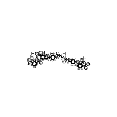 CN(CCNC(=O)NCc1ccc(Oc2cccc3c2C(=O)NC(=O)C3=O)cc1)C[C@H]1CC[C@H](n2cc3cc(NC(=O)c4cccc(C(F)(F)F)n4)c(C(C)(C)O)cc3n2)CC1